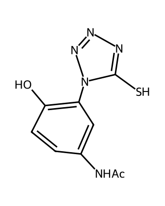 CC(=O)Nc1ccc(O)c(-n2nnnc2S)c1